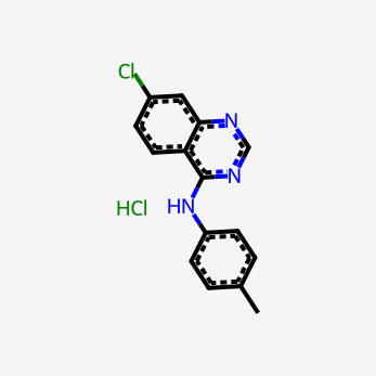 Cc1ccc(Nc2ncnc3cc(Cl)ccc23)cc1.Cl